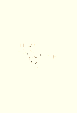 CCOC(=O)c1cc(Br)cnc1CC(C(=O)O)C(=O)O